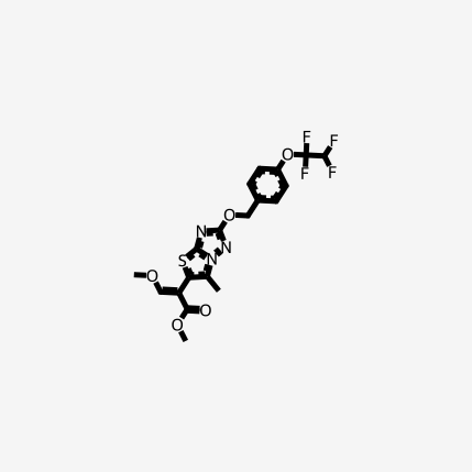 CO/C=C(/C(=O)OC)c1sc2nc(OCc3ccc(OC(F)(F)C(F)F)cc3)nn2c1C